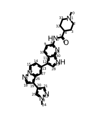 CN1CCC(C(=O)Nc2ccc3c(-c4ccn5ncc(-c6cnn(C)c6)c5c4)c[nH]c3n2)CC1